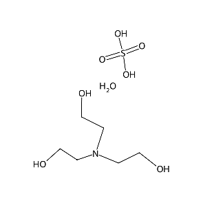 O.O=S(=O)(O)O.OCCN(CCO)CCO